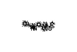 O=C(c1cccs1)c1cnn2c(-c3cccc(-c4nnn(CCN5CCCCC5)n4)c3)ccnc12